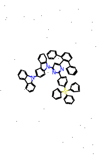 c1ccc(-c2cccc(-c3ccccc3)c2-c2cc(-n3c4c(c5cc(-n6c7ccccc7c7ccccc76)ccc53)C=CCC4)nc(-c3ccc(S(c4ccccc4)(c4ccccc4)c4ccccc4)cc3)n2)cc#1